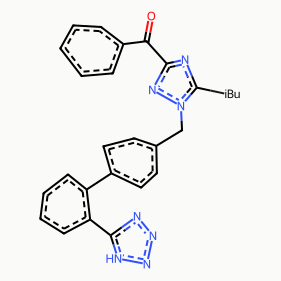 CCC(C)c1nc(C(=O)c2ccccc2)nn1Cc1ccc(-c2ccccc2-c2nnn[nH]2)cc1